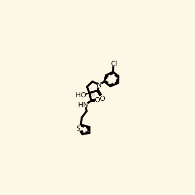 O=C(NCCc1cccs1)[C@]1(O)CCN(c2cccc(Cl)c2)C1=O